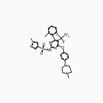 Cc1ccccc1-c1nc(NS(=O)(=O)c2cnn(C)c2)nc(Oc2ccc(N3CCN(C)CC3)cc2)c1C(F)(F)C(F)(F)F